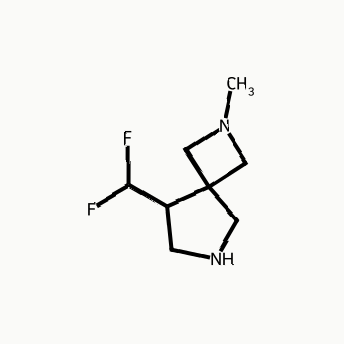 CN1CC2(CNCC2C(F)F)C1